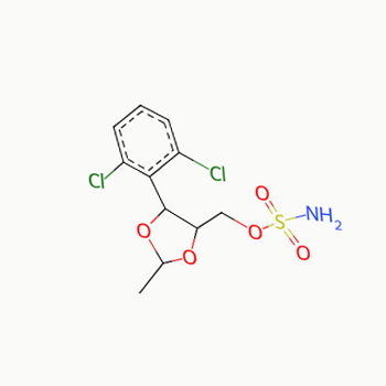 CC1OC(COS(N)(=O)=O)C(c2c(Cl)cccc2Cl)O1